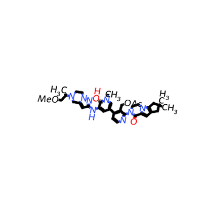 COCC(C)N1CCn2nc(NC3=CC(c4ccnc(N5CCn6c(cc7c6CC(C)(C)C7)C5=O)c4COC(C)=O)=CN(C)[C@@H]3O)cc2C1